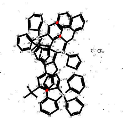 CC(C)(C)c1cc2c(cc1-c1ccccc1[Si](c1ccccc1)(c1ccccc1)c1ccccc1)Cc1c-2cc(C(C)(C)C)c(-c2ccccc2[Si](c2ccccc2)(c2ccccc2)c2ccccc2)[c]1[Zr]([C]1=CC=CC1)=[C](Cc1ccccc1)Cc1ccccc1.[Cl-].[Cl-]